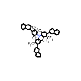 Cc1cc(-c2ccc3ccccc3c2)c(C(F)(F)F)cc1N(c1cc(C(F)(F)F)c(-c2ccc3ccccc3c2)cc1C)c1cc(C(F)(F)F)c(-c2ccc3ccccc3c2)cc1C